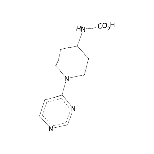 O=C(O)NC1CCN(c2ccncn2)CC1